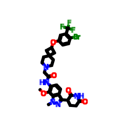 COc1c(NC(=O)CN2CCC3(CC2)CC(Oc2ccc(Br)c(C(F)(F)F)c2)C3)ccc2c(C3CCC(=O)NC3=O)nn(C)c12